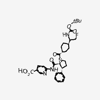 CC(C)(C)OC(=O)NC(CF)[C@H]1CC[C@H](C(=O)N2CC[C@H](c3ccccc3)[C@H]2C(=O)Nc2ccc(C(=O)O)cn2)CC1